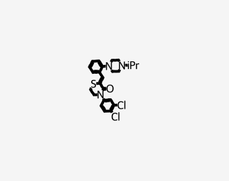 CC(C)N1CCN(c2ccccc2C=C2SCCN(c3ccc(Cl)c(Cl)c3)C2=O)CC1